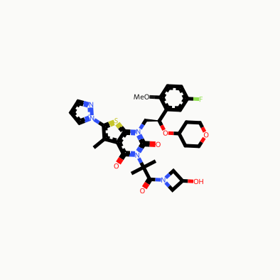 COc1ccc(F)cc1[C@H](Cn1c(=O)n(C(C)(C)C(=O)N2CC(O)C2)c(=O)c2c(C)c(-n3cccn3)sc21)OC1CCOCC1